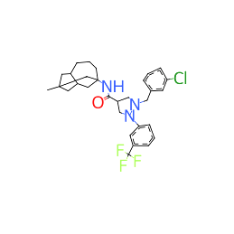 CC12CC3CCCC(NC(=O)C4CN(Cc5cccc(Cl)c5)N(c5cccc(C(F)(F)F)c5)C4)(CC3C1)C2